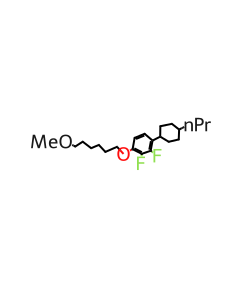 CCCC1CCC(c2ccc(OCCCCCCOC)c(F)c2F)CC1